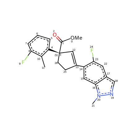 COC(=O)[C@]1(c2cccc(F)c2C)C=C(c2cc3c(cnn3C)cc2F)CC1